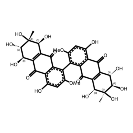 COc1cc(O)c2c(c1-c1c(OC)cc(O)c3c1C(=O)C1=C(C3=O)[C@@H](O)[C@H](O)[C@](C)(O)[C@H]1O)C(=O)C1=C(C2=O)[C@H](O)[C@@H](O)[C@@](C)(O)[C@@H]1O